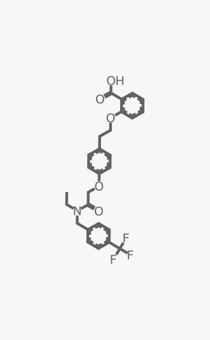 CCN(Cc1ccc(C(F)(F)F)cc1)C(=O)COc1ccc(CCOc2ccccc2C(=O)O)cc1